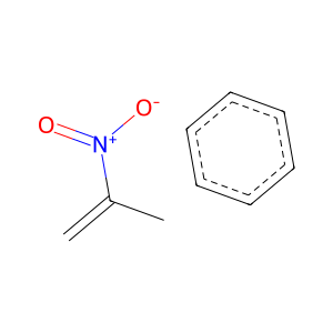 C=C(C)[N+](=O)[O-].c1ccccc1